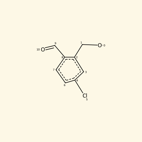 [O]Cc1cc(Cl)ccc1C=O